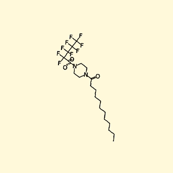 CCCCCCCCCCCC(=O)N1CCN(S(=O)(=O)C(F)(F)C(F)(F)C(F)(F)C(F)(F)F)CC1